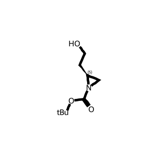 CC(C)(C)OC(=O)N1C[C@@H]1CCO